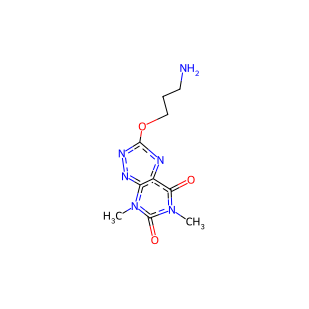 Cn1c(=O)c2nc(OCCCN)nnc2n(C)c1=O